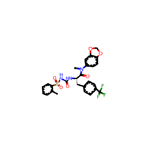 Cc1ccccc1S(=O)(=O)NC(=O)N[C@@H](Cc1ccc(C(F)(F)F)cc1)C(=O)N(C)c1ccc2c(c1)OCO2